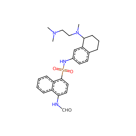 CN(C)CCN(C)C1CCCc2ccc(NS(=O)(=O)c3ccc(NC=O)c4ccccc34)cc21